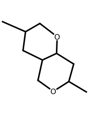 CC1COC2CC(C)OCC2C1